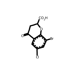 O=C1CC(C(=O)O)Oc2c(Br)cc(Cl)cc21